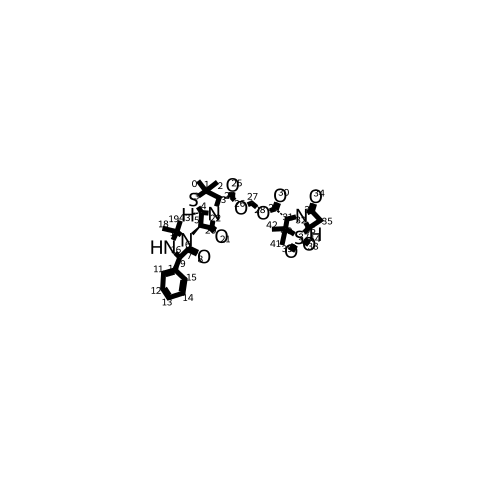 CC1(C)S[C@@H]2[C@H](N3C(=O)C(c4ccccc4)NC3(C)C)C(=O)N2[C@H]1C(=O)OCOC(=O)[C@@H]1N2C(=O)C[C@H]2S(=O)(=O)C1(C)C